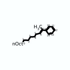 CCCCCCCCCCCCCC=C(C)c1ccccc1